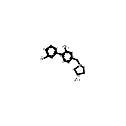 Cc1cc(CN2CC[C@H](O)C2)ccc1-c1cccc(Br)c1